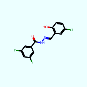 O=C(NN=Cc1cc(Cl)ccc1O)c1cc(F)cc(F)c1